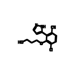 N#Cc1ccc(Cl)c(OCCCO)c1-c1ccn[nH]1